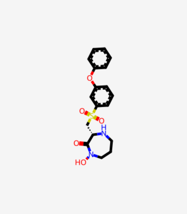 O=C1[C@H](CS(=O)(=O)c2cccc(Oc3ccccc3)c2)NCCCN1O